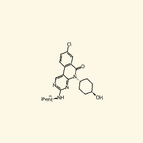 CCC[C@H](C)Nc1ncc2c3ccc(Cl)cc3c(=O)n([C@H]3CC[C@H](O)CC3)c2n1